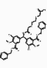 COc1c(Cl)cc(C(NC(=O)COCCOCC(=O)O)c2cc(Cl)c(OC)c(C(=O)OCc3ccccc3)c2)cc1C(=O)OCc1ccccc1